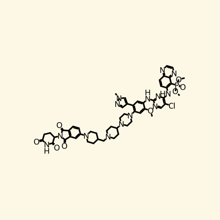 COc1cc(N2CCN(C3CCN(CC4CCN(c5ccc6c(c5)C(=O)N(C5CCC(=O)NC5=O)C6=O)CC4)CC3)CC2)c(-c2cnn(C)c2)cc1Nc1ncc(Cl)c(Nc2ccc3nccnc3c2P(=O)(OC)OC)n1